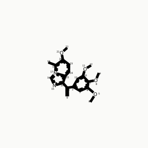 C=C(c1cc(OC)c(OC)c(OC)c1)c1ncn2c(C)c(OC)ccc12